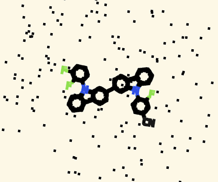 N#Cc1ccc(-n2c3ccccc3c3ccc(-c4ccc5c6ccccc6n(-c6cccc(F)c6F)c5c4)cc32)c(F)c1